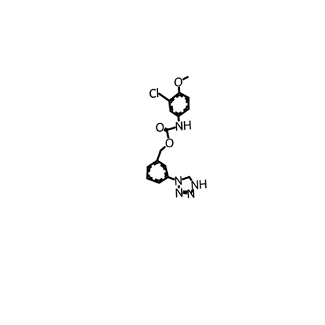 COc1ccc(NC(=O)OCc2cccc(N3CNN=N3)c2)cc1Cl